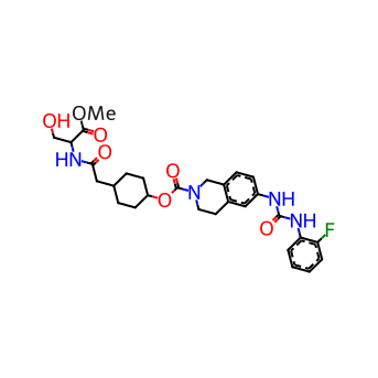 COC(=O)C(CO)NC(=O)CC1CCC(OC(=O)N2CCc3cc(NC(=O)Nc4ccccc4F)ccc3C2)CC1